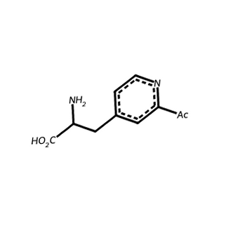 CC(=O)c1cc(CC(N)C(=O)O)ccn1